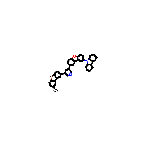 N#Cc1ccc2sc3ccc(-c4cncc(-c5ccc6oc7ccc(-n8c9ccccc9c9ccccc98)cc7c6c5)c4)cc3c2c1